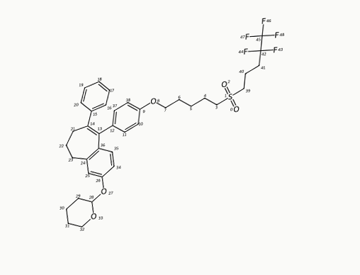 O=S(=O)(CCCCCOc1ccc(C2=C(c3ccccc3)CCCc3cc(OC4CCCCO4)ccc32)cc1)CCCC(F)(F)C(F)(F)F